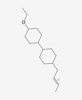 C/C=C/CC1CCC(C2CCC(OCC)CC2)CC1